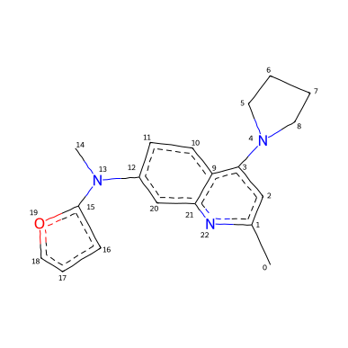 Cc1cc(N2CCCC2)c2ccc(N(C)c3ccco3)cc2n1